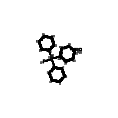 F[PH](c1ccccc1)(c1ccccc1)c1ccccc1.O